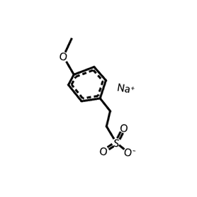 COc1ccc(CCS(=O)(=O)[O-])cc1.[Na+]